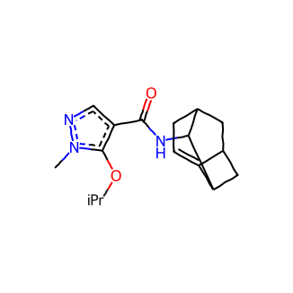 CC(C)Oc1c(C(=O)NC2C3CC=C4C(C3)CC42)cnn1C